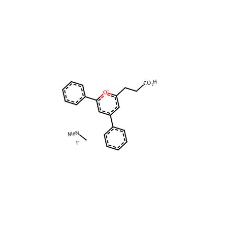 CNC.O=C(O)CCc1cc(-c2ccccc2)cc(-c2ccccc2)[o+]1.[I-]